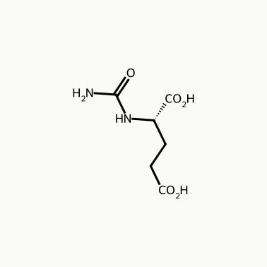 NC(=O)N[C@@H](CCC(=O)O)C(=O)O